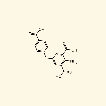 Nc1c(C(=O)O)cc(Cc2ccc(C(=O)O)cc2)cc1C(=O)O